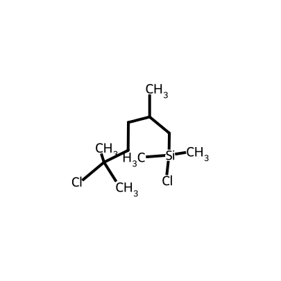 CC(CCC(C)(C)Cl)C[Si](C)(C)Cl